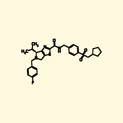 CC(C)[C@H]1c2nc(C(=O)NCc3ccc(S(=O)(=O)CC4CCCC4)cc3)sc2CN1Cc1ccc(F)cc1